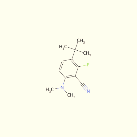 CN(C)c1ccc(C(C)(C)C)c(F)c1C#N